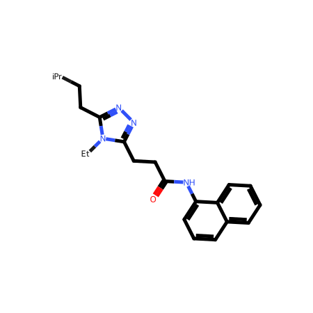 CCn1c(CCC(=O)Nc2cccc3ccccc23)nnc1CCC(C)C